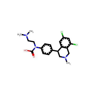 CN(C)CCN(C(=O)O)c1ccc(C2CN(C)Cc3c(Cl)cc(Cl)cc32)cc1